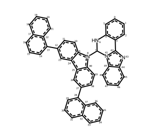 c1ccc2c(c1)NC(n1c3ccc(-c4cccc5ccccc45)cc3c3cc(-c4cccc5ccccc45)ccc31)n1c-2nc2ccccc21